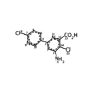 Nc1cc(-c2ccc(Cl)nc2)nc(C(=O)O)c1Cl